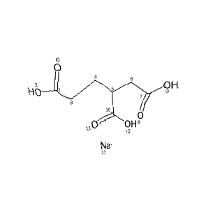 O=C(O)CCC(CC(=O)O)C(=O)O.[Na]